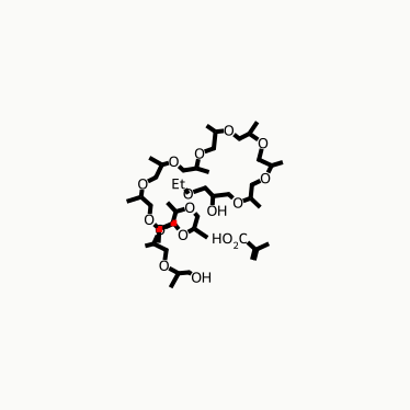 C=C(C)C(=O)O.CCOCC(O)COC(C)COC(C)COC(C)COC(C)COC(C)COC(C)COC(C)COC(C)COC(C)COC(C)COC(C)COC(C)CO